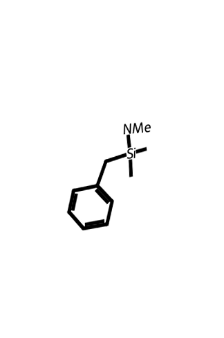 CN[Si](C)(C)Cc1ccccc1